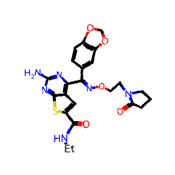 CCNC(=O)c1cc2c(C(=NOCCN3CCCC3=O)c3ccc4c(c3)OCO4)nc(N)nc2s1